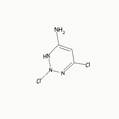 NC1=CC(Cl)=NN(Cl)N1